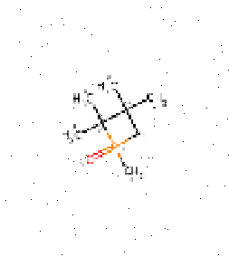 CC1(C)CP(C)(=O)C1(C)C